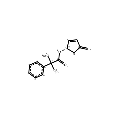 COC(C(=O)O[C@@H]1C=CC(=O)C1)(c1ccccc1)C(F)(F)F